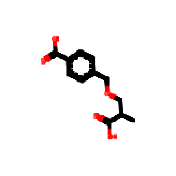 CC(COCc1ccc(C(=O)O)cc1)C(=O)O